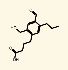 CCCc1cc(CCCC(=O)O)c(CO)cc1C=O